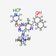 Cl.Oc1cc(-c2ncc3c(N4C[C@H]5CC[C@@H](C4)N5)nc(Oc4ccncc4)nc3c2F)c2ccccc2c1